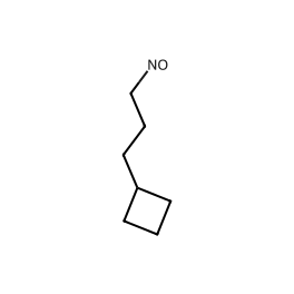 O=NCCCC1CCC1